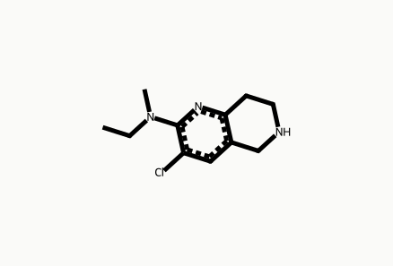 CCN(C)c1nc2c(cc1Cl)CNCC2